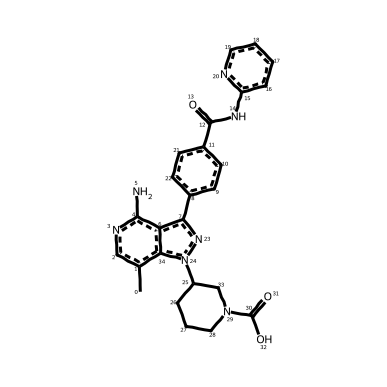 Cc1cnc(N)c2c(-c3ccc(C(=O)Nc4ccccn4)cc3)nn(C3CCCN(C(=O)O)C3)c12